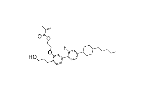 C=C(C)C(=O)OCCOc1cc(-c2ccc(C3CCC(CCCCC)CC3)cc2F)ccc1CCCO